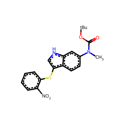 CN(C(=O)OC(C)(C)C)c1ccc2c(Sc3ccccc3[N+](=O)[O-])c[nH]c2c1